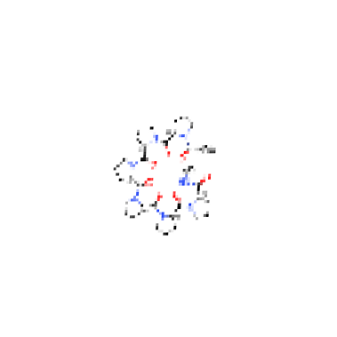 CCCNC(=O)[C@H]1CCCN1C(=O)[C@H]1CCCN1C(=O)[C@H]1CCCN1C(=O)[C@H]1CCCN1C(=O)[C@H]1CCCN1C(=O)[C@H]1CCCN1C(=O)NC